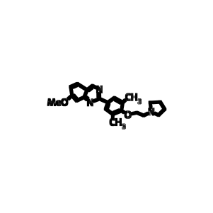 COc1ccc2cnc(-c3cc(C)c(OCCN4CCCC4)c(C)c3)nc2c1